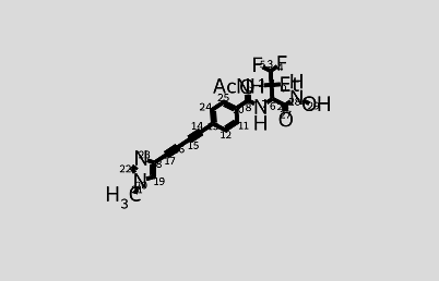 CCC(NC(C)=O)(C(F)F)C(NC(=O)c1ccc(C#CC#Cc2cn(C)cn2)cc1)C(=O)NO